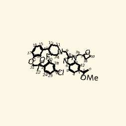 C=C(OC)c1ccc2nc(CN3CCC(c4cccc5c4O[C@](C)(c4ccc(Cl)cc4F)CO5)CC3)n(C[C@@H]3CCO3)c2c1